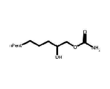 CCCCCCCCC(O)COC(N)=O